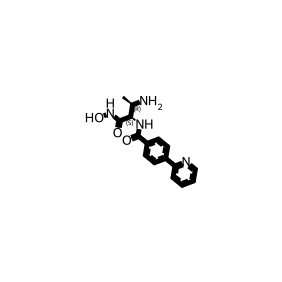 C[C@@H](N)[C@H](NC(=O)c1ccc(-c2ccccn2)cc1)C(=O)NO